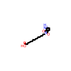 Nc1cccc2c1C(=O)N(CCCCCCCCCCCCCCCC(=O)O)C2=O